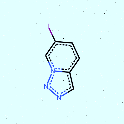 Ic1ccc2cnnn2c1